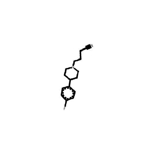 N#CCCCN1CCC(c2ccc(F)cc2)CC1